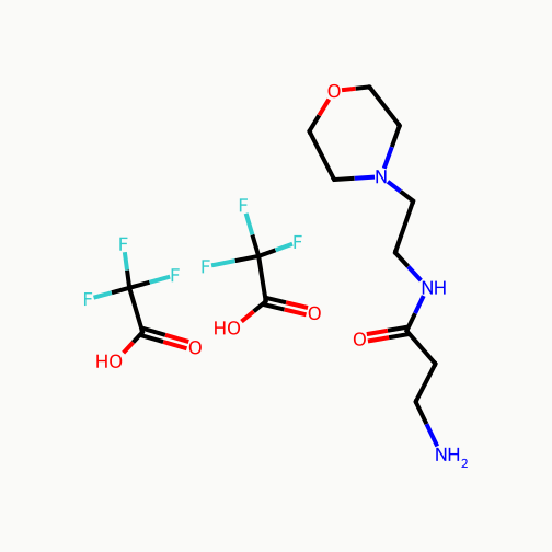 NCCC(=O)NCCN1CCOCC1.O=C(O)C(F)(F)F.O=C(O)C(F)(F)F